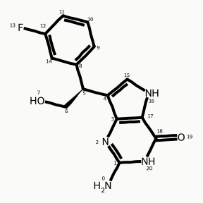 Nc1nc2c([C@@H](CO)c3cccc(F)c3)c[nH]c2c(=O)[nH]1